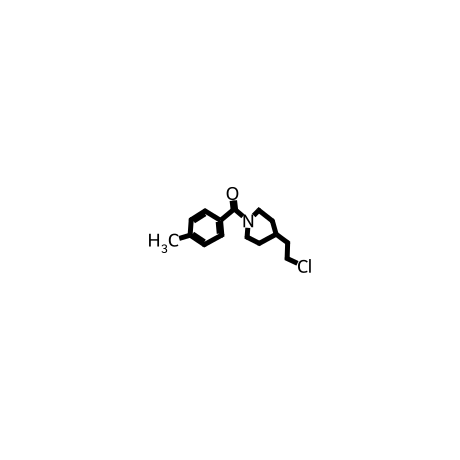 Cc1ccc(C(=O)N2CCC(CCCl)CC2)cc1